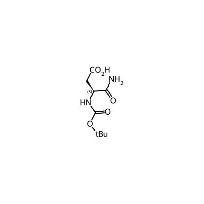 CC(C)(C)OC(=O)N[C@@H](CC(=O)O)C(N)=O